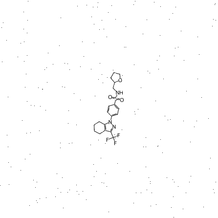 O=S(=O)(NCC1CCCO1)c1ccc(-n2nc(C(F)(F)F)c3c2CCCC3)cc1